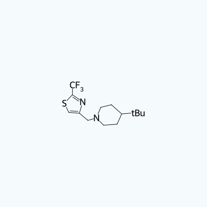 CC(C)(C)C1CCN(Cc2csc(C(F)(F)F)n2)CC1